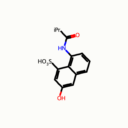 CC(C)C(=O)Nc1cccc2cc(O)cc(S(=O)(=O)O)c12